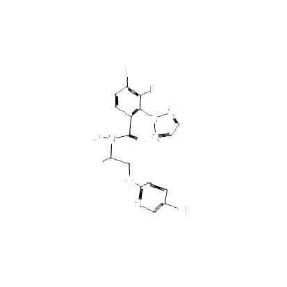 CCN(C(=O)c1ccc(F)c(F)c1-n1nccn1)C(C)COc1ccc(C(F)(F)F)cn1